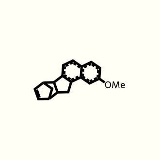 COc1ccc2ccc3c(c2c1)CC1C2C=CC(C2)C31